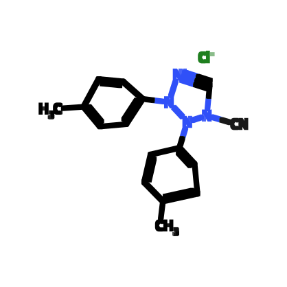 Cc1ccc(N2[N+]#CN(C#N)N2c2ccc(C)cc2)cc1.[Cl-]